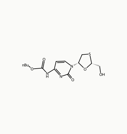 CCCCOC(=O)Nc1ccn([C@@H]2CS[C@H](CO)O2)c(=O)n1